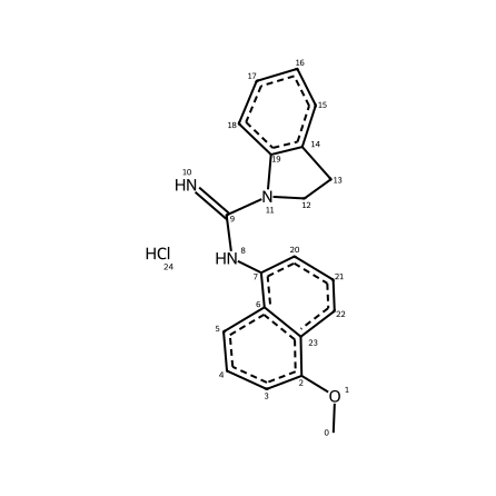 COc1cccc2c(NC(=N)N3CCc4ccccc43)cccc12.Cl